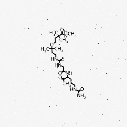 CNC(=O)C(C)(C)CCOC(C)(C)CCNC(=S)NCC(=O)NC(CCCNC(N)=O)C(C)=O